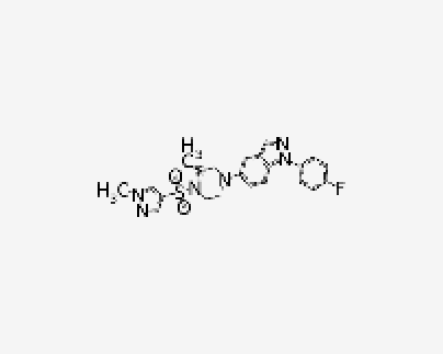 C[C@H]1CN(c2ccc3c(cnn3-c3ccc(F)cc3)c2)CCN1S(=O)(=O)c1cnn(C)c1